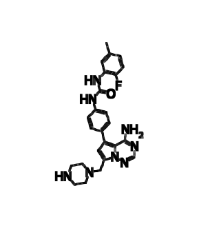 Cc1ccc(F)c(NC(=O)Nc2ccc(-c3cc(CN4CCNCC4)n4ncnc(N)c34)cc2)c1